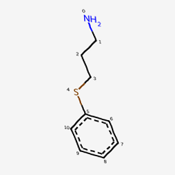 NCCCSc1ccccc1